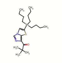 CCC[CH2][Sn]([CH2]CCC)([CH2]CCC)[c]1cn2cnc(C(=O)C(C)(C)C)c2s1